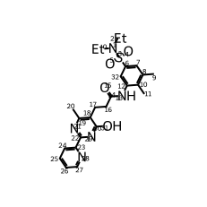 CCN(CC)S(=O)(=O)c1cc(C)c(C)c(NC(=O)CCc2c(C)nc(-c3ccccn3)nc2O)c1